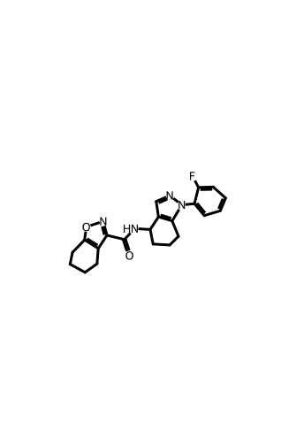 O=C(NC1CCCc2c1cnn2-c1ccccc1F)c1noc2c1CCCC2